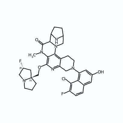 CN1C(=O)C2C3CCC(CN2c2c4c(nc(OC[C@@]56CCCN5C[C@H](F)C6)c21)CN(c1cc(O)cc2ccc(F)c(Cl)c12)CC4)N3